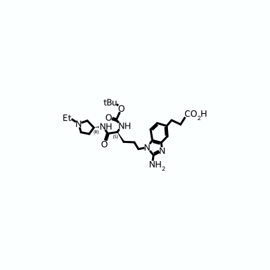 CCN1CC[C@@H](NC(=O)[C@H](CCCn2c(N)nc3cc(CCC(=O)O)ccc32)NC(=O)OC(C)(C)C)C1